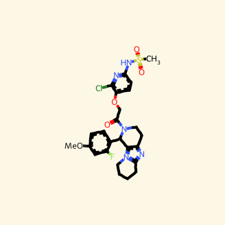 COc1ccc(C2c3c(nc4n3CCCC4)CCN2C(=O)COc2ccc(NS(C)(=O)=O)nc2Cl)c(F)c1